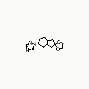 c1ncn([C@H]2CCC3CC4(CC3C2)OCCO4)n1